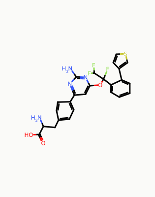 Nc1nc(OC(F)(c2ccccc2-c2ccsc2)C(F)F)cc(-c2ccc(CC(N)C(=O)O)cc2)n1